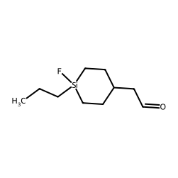 CCC[Si]1(F)CCC(CC=O)CC1